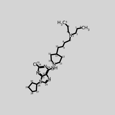 CCCN(CCC)CCCCC1CCN(Nc2nc(Cl)nc3c2ncn3C2CCCC2)CC1